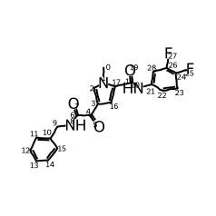 Cn1cc(C(=O)C(=O)NCc2ccccc2)cc1C(=O)Nc1ccc(F)c(F)c1